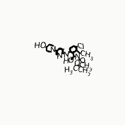 CC1c2c(Cl)ccc(Nc3ccc(N4CCC(O)CC4)cn3)c2C(=O)N1C(=O)OC(C)(C)C